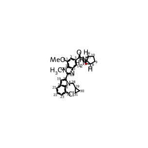 COc1cc(C(=O)N2C[C@H]3CC[C@@H]2[C@@H]3N)cc2nc(-c3cc4cccc(Cl)c4n3CC3CC3)n(C)c12